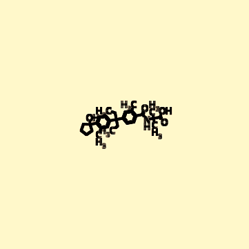 CCC(CC)(c1ccc(C(=O)NC(C)(C)C(=O)O)c(C)c1)c1ccc(C2(O)CCCC2)c(C)c1